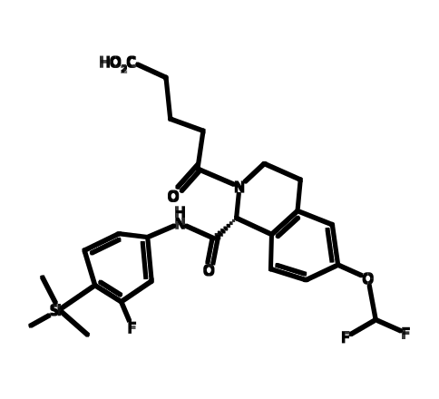 C[Si](C)(C)c1ccc(NC(=O)[C@H]2c3ccc(OC(F)F)cc3CCN2C(=O)CCCC(=O)O)cc1F